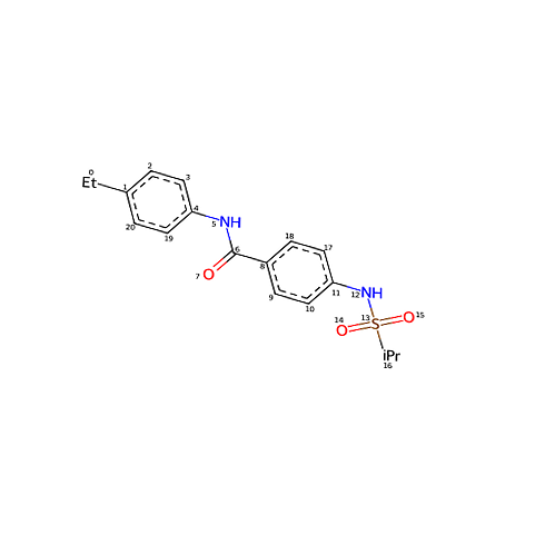 CCc1ccc(NC(=O)c2ccc(NS(=O)(=O)C(C)C)cc2)cc1